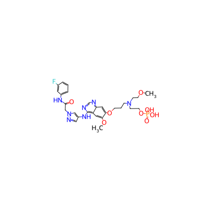 COCCN(CCCOc1cc2ncnc(Nc3cnn(CC(=O)Nc4cccc(F)c4)c3)c2cc1OC)CCOP(=O)(O)O